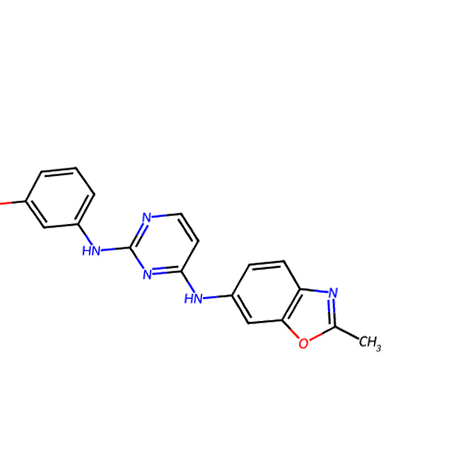 Cc1nc2ccc(Nc3ccnc(Nc4cccc(O)c4)n3)cc2o1